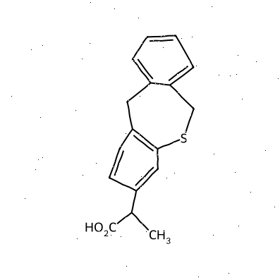 CC(C(=O)O)c1ccc2c(c1)SCc1ccccc1C2